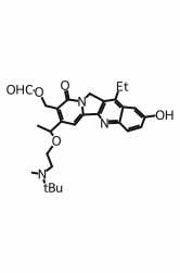 CCc1c2c(nc3ccc(O)cc13)-c1cc(C(C)OCCN(C)C(C)(C)C)c(COC=O)c(=O)n1C2